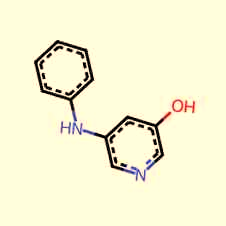 Oc1cncc(Nc2ccccc2)c1